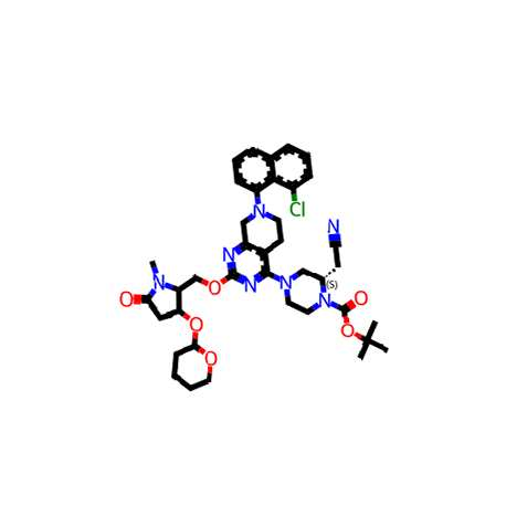 CN1C(=O)CC(OC2CCCCO2)C1COc1nc2c(c(N3CCN(C(=O)OC(C)(C)C)[C@@H](CC#N)C3)n1)CCN(c1cccc3cccc(Cl)c13)C2